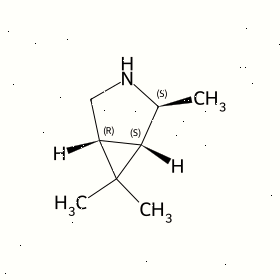 C[C@@H]1NC[C@@H]2[C@H]1C2(C)C